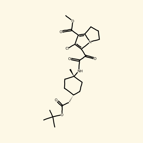 COC(=O)c1c(Cl)c(C(=O)C(=O)N[C@]2(C)CC[C@H](CC(=O)OC(C)(C)C)CC2)n2c1CCC2